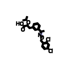 C/C(=N\OCc1ccc(Cl)cc1Cl)c1cccc(CC(OC(C)C)C(=O)O)c1